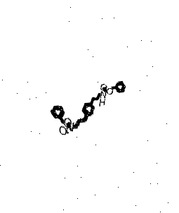 O=CN(CCCc1ccc(CCCNC(=O)OCc2ccccc2)cc1)OCc1ccccc1